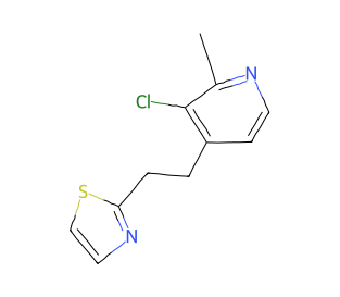 Cc1nccc(CCc2nccs2)c1Cl